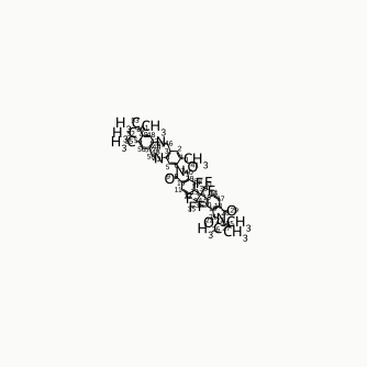 Cc1cc2c(cc1N1C(=O)c3ccc(C(c4ccc5c(c4)C(=O)N(C(C)(C)C)C5=O)(C(F)(F)F)C(F)(F)F)cc3C1=O)N1CCN(C2)c2cc(C(C)(C)C)c(C)cc2C1